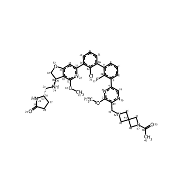 COc1nc(-c2cccc(-c3cccc(-c4cc5c(c(OC)n4)[C@@H](NC[C@@H]4CCC(=O)N4)CO5)c3Cl)c2F)cnc1CN1CC2(C1)CN(C(C)=O)C2